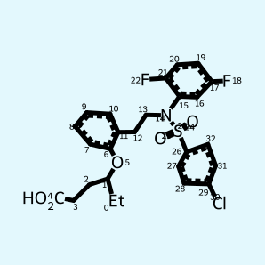 CCC(CCC(=O)O)Oc1ccccc1CCN(c1cc(F)ccc1F)S(=O)(=O)c1ccc(Cl)cc1